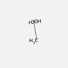 CCCCCCCCCCCCc1cc(I)ccc1O